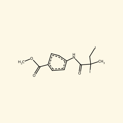 COC(=O)c1ccc(NC(=O)C(C)(I)CI)cc1